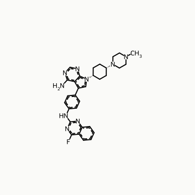 CN1CCN([C@H]2CC[C@@H](n3cc(-c4ccc(Nc5nc(F)c6ccccc6n5)cc4)c4c(N)ncnc43)CC2)CC1